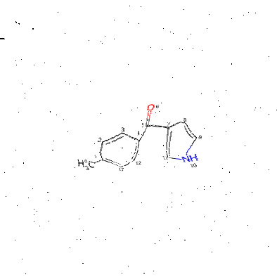 Cc1ccc(C(=O)c2cc[nH]c2)cc1